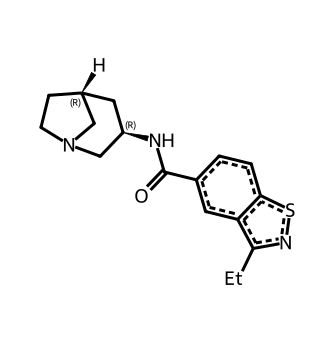 CCc1nsc2ccc(C(=O)N[C@@H]3C[C@H]4CCN(C4)C3)cc12